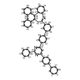 c1ccc(-c2ccc(-c3cc(-c4ccc(-c5cccc(C6=Nc7ccccc7-c7c(c8ccccc8c8ccccc78)C6)c5)cc4)nc(-c4ccccc4)n3)cc2)cc1